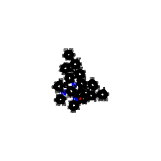 c1ccc(-c2cccc([Si](c3ccccc3)(c3ccccc3)c3cccc(N4c5cc([Si](c6ccccc6)(c6ccccc6)c6cccc(-c7ccccc7)c6)ccc5B5c6ccccc6N(c6ccccc6)c6cc(-n7c8ccccc8c8ccccc87)cc4c65)c3)c2)cc1